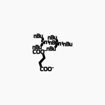 CCC[CH2][Sn+]([CH2]CCC)[CH2]CCC.CCC[CH2][Sn+]([CH2]CCC)[CH2]CCC.O=C([O-])CCC(=O)[O-]